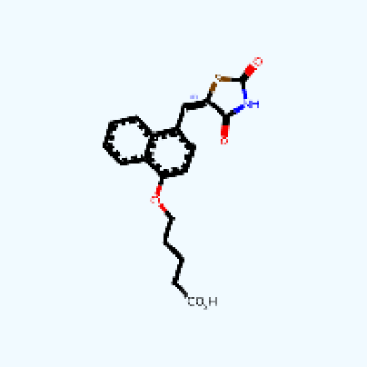 O=C(O)CCCCOc1ccc(/C=C2/SC(=O)NC2=O)c2ccccc12